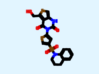 O=c1[nH]c2csc(CO)c2c(=O)n1-c1cc(S(=O)(=O)N2CCCc3ccccc32)cs1